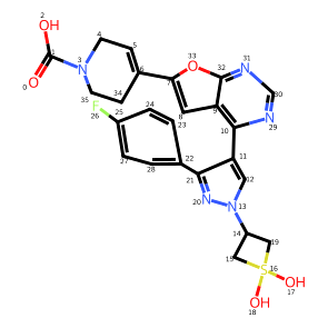 O=C(O)N1CC=C(c2cc3c(-c4cn(C5CS(O)(O)C5)nc4-c4ccc(F)cc4)ncnc3o2)CC1